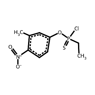 CCP(=S)(Cl)Oc1ccc([N+](=O)[O-])c(C)c1